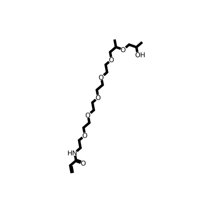 C=CC(=O)NCCOCCOCCOCCOCCOCC(C)OCC(C)O